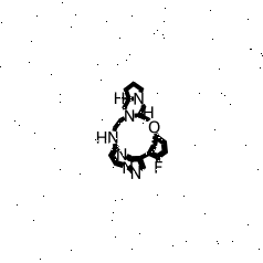 Fc1ccc2cc1-c1cnn3ccc(nc13)NCCN1C[C@@H]3CCCN3C[C@H]1CO2